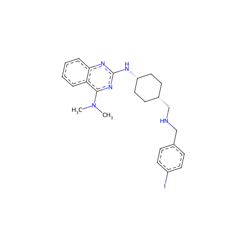 CN(C)c1nc(N[C@H]2CC[C@@H](CNCc3ccc(I)cc3)CC2)nc2ccccc12